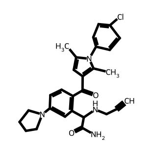 C#CCNC(C(N)=O)c1cc(N2CCCC2)ccc1C(=O)c1cc(C)n(-c2ccc(Cl)cc2)c1C